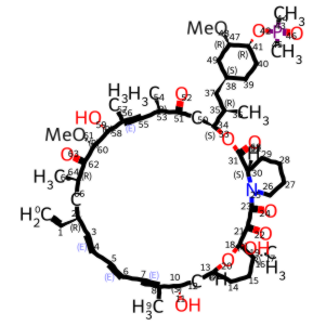 C=C[C@@H]1/C=C/C=C/C=C(\C)[C@@H](O)C[C@@H]2CC[C@@H](C)[C@@](O)(O2)C(=O)C(=O)N2CCCC[C@H]2C(=O)O[C@H]([C@H](C)C[C@@H]2CC[C@@H](OP(C)(C)=O)[C@H](OC)C2)CC(=O)[C@H](C)/C=C(\C)[C@@H](O)[C@@H](OC)C(=O)[C@H](C)C1